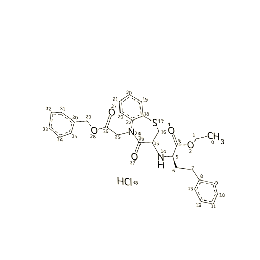 CCOC(=O)[C@@H](CCc1ccccc1)NC1CSc2ccccc2N(CC(=O)OCc2ccccc2)C1=O.Cl